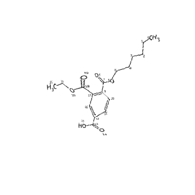 CCCCCCOC(=O)c1ccc(C(=O)O)cc1C(=O)OCC